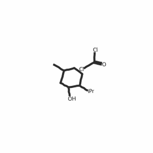 CC1CCC(C(C)C)C(O)C1.O=C(Cl)Cl